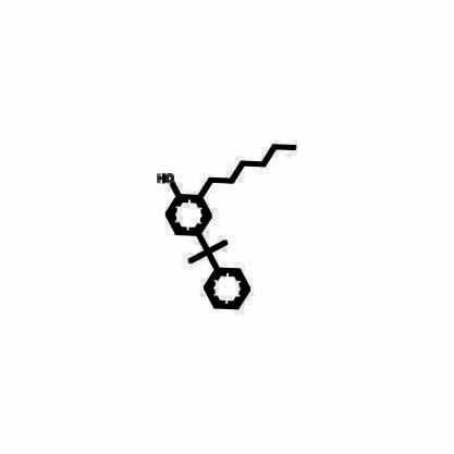 CCCCCCc1cc(C(C)(C)c2ccccc2)ccc1O